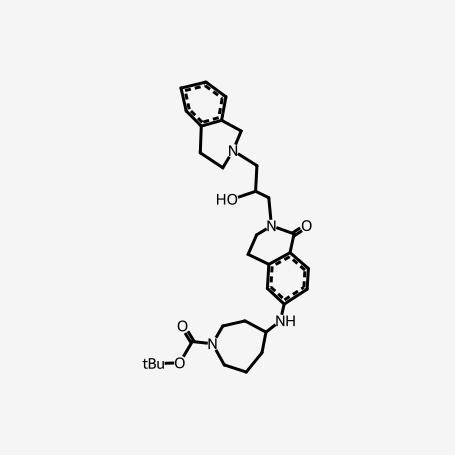 CC(C)(C)OC(=O)N1CCCC(Nc2ccc3c(c2)CCN(CC(O)CN2CCc4ccccc4C2)C3=O)CC1